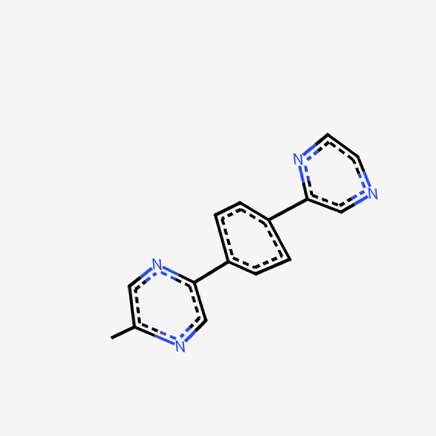 Cc1cnc(-c2ccc(-c3cnccn3)cc2)cn1